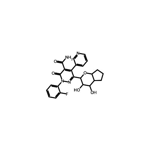 NC(=O)c1c(-c2cccnc2)c(C2OC3CCCC3C(O)C2O)nn(-c2ccccc2F)c1=O